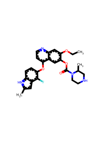 CCOc1cc2nccc(Oc3ccc4[nH]c(C)cc4c3F)c2cc1OC(=O)N1CCNCC1C